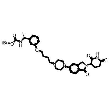 C[C@@H](NC(=O)OC(C)(C)C)c1cccc(OCCCCN2CCN(c3ccc4c(c3)CN(C3CCC(=O)NC3=O)C4=O)CC2)c1